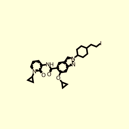 O=C(Nc1cccn(C2CC2)c1=O)c1cc2cn(C3CCC(CCI)CC3)nc2cc1OC1CC1